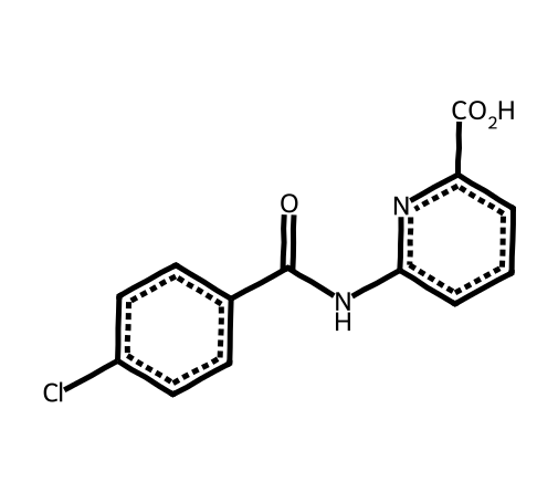 O=C(Nc1cccc(C(=O)O)n1)c1ccc(Cl)cc1